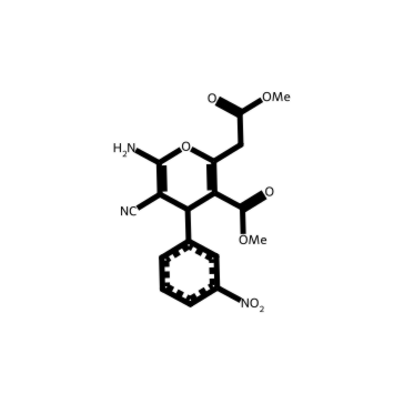 COC(=O)CC1=C(C(=O)OC)C(c2cccc([N+](=O)[O-])c2)C(C#N)=C(N)O1